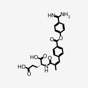 CC(=Cc1ccc(C(=O)Oc2ccc(C(=N)N)cc2)cc1)C(=O)N[C@H](CCC(=O)O)C(=O)O